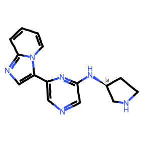 c1ccn2c(-c3cncc(N[C@H]4CCNC4)n3)cnc2c1